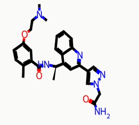 Cc1ccc(OCCN(C)C)cc1C(=O)N[C@H](C)c1cc(-c2cnn(CC(N)=O)c2)nc2ccccc12